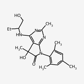 CCC(CO)Nc1nc(C)nc2c1C(C)(O)C(=O)N2c1c(C)cc(C)cc1C